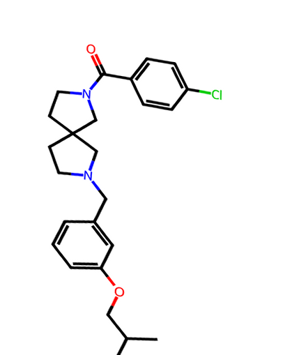 CC(C)COc1cccc(CN2CCC3(CCN(C(=O)c4ccc(Cl)cc4)C3)C2)c1